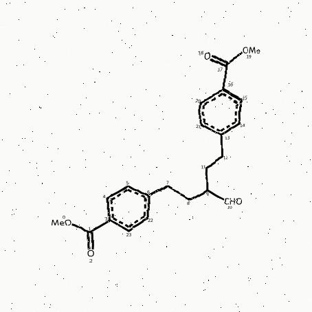 COC(=O)c1ccc(CCC(C=O)CCc2ccc(C(=O)OC)cc2)cc1